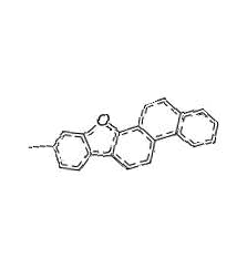 Cc1ccc2c(c1)oc1c2ccc2c3ccccc3ccc21